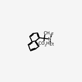 CCN(F)C(C)(C(=O)O)c1cccc2ccccc12